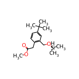 COC(=O)Cc1ccc(C(C)(C)C)cc1CO[SiH](C)C